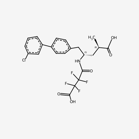 C[C@H](C[C@@H](Cc1ccc(-c2cccc(Cl)c2)cc1)NC(=O)C(F)(F)C(F)(F)C(=O)O)C(=O)O